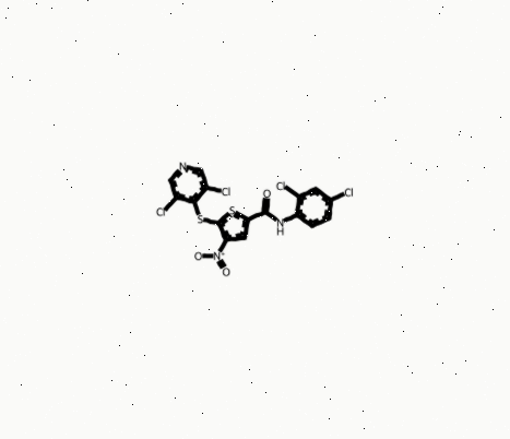 O=C(Nc1ccc(Cl)cc1Cl)c1cc([N+](=O)[O-])c(Sc2c(Cl)cncc2Cl)s1